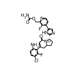 NC(=O)OCc1nccc(-c2cnc([C@@H]3CCC4CC(c5c(N)ccc(Cl)c5F)=CC(=O)N43)[nH]2)c1F